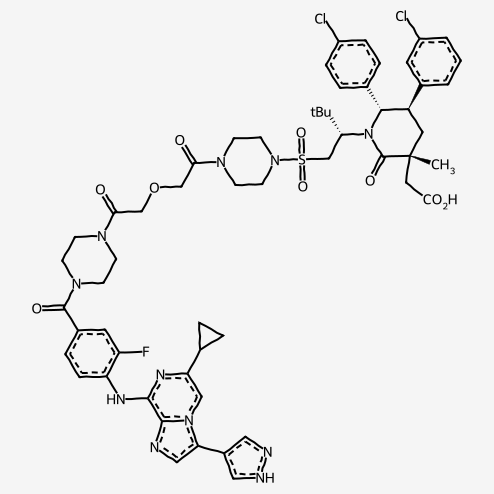 CC(C)(C)[C@@H](CS(=O)(=O)N1CCN(C(=O)COCC(=O)N2CCN(C(=O)c3ccc(Nc4nc(C5CC5)cn5c(-c6cn[nH]c6)cnc45)c(F)c3)CC2)CC1)N1C(=O)[C@@](C)(CC(=O)O)C[C@H](c2cccc(Cl)c2)[C@H]1c1ccc(Cl)cc1